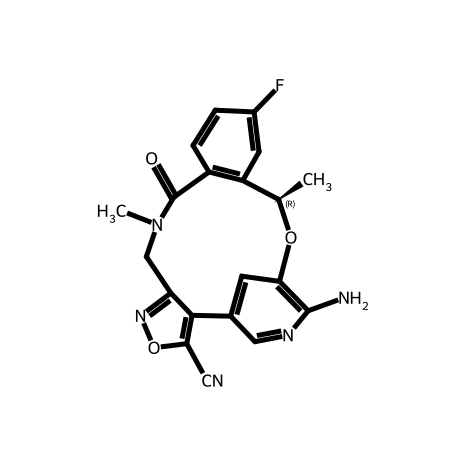 C[C@H]1Oc2cc(cnc2N)-c2c(noc2C#N)CN(C)C(=O)c2ccc(F)cc21